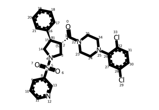 O=C([C@@H]1CN(S(=O)(=O)c2cccnc2)C[C@H]1c1ccccc1)N1CCN(c2cc(Cl)ccc2Cl)CC1